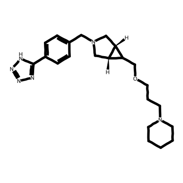 c1cc(-c2nnn[nH]2)ccc1CN1C[C@@H]2C(COCCCN3CCCCC3)[C@@H]2C1